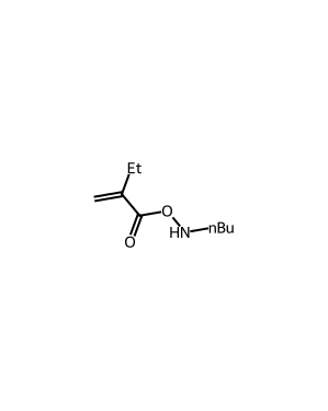 C=C(CC)C(=O)ONCCCC